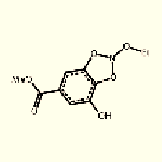 CCON1Oc2cc(C(=O)OC)cc(O)c2O1